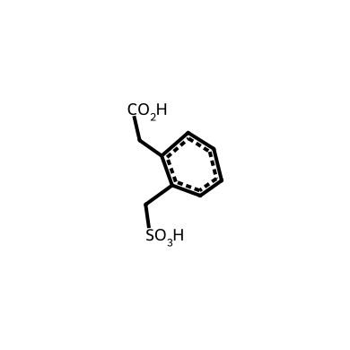 O=C(O)Cc1ccccc1CS(=O)(=O)O